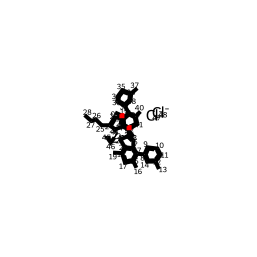 CCCCC1=Cc2c(-c3cccc(C)c3)c(C)cc(C)c2[CH]1[Zr+2]1([CH]2C(CCCC)=Cc3c(-c4cccc(C)c4)c(C)cc(C)c32)[CH2][CH2]1.[Cl-].[Cl-]